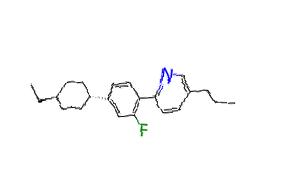 CCCc1ccc(-c2ccc([C@H]3CC[C@H](CC)CC3)cc2F)nc1